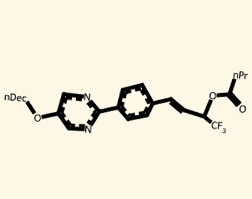 CCCCCCCCCCOc1cnc(-c2ccc(C=CC(OC(=O)CCC)C(F)(F)F)cc2)nc1